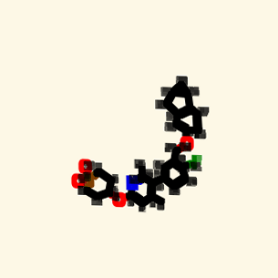 Cc1cc(OC2CCS(=O)(=O)CC2)nc(C)c1-c1ccc(F)c(COc2ccc3c(c2)CC2CC32)c1